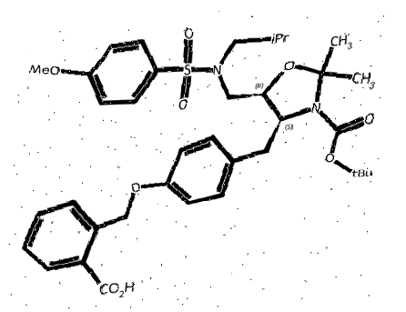 COc1ccc(S(=O)(=O)N(CC(C)C)C[C@H]2OC(C)(C)N(C(=O)OC(C)(C)C)[C@H]2Cc2ccc(OCc3ccccc3C(=O)O)cc2)cc1